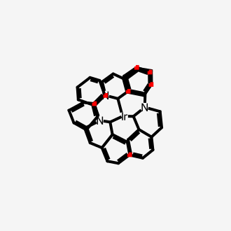 C1=CN(c2ccccc2)[CH]([Ir]([CH]2c3ccccc3C=CN2c2ccccc2)[CH]2c3ccccc3C=CN2c2ccccc2)c2ccccc21